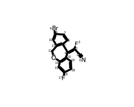 N#CC(F)=C1c2ccc(Br)cc2COc2cc(F)ccc21